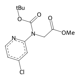 COC(=O)CN(C(=O)OC(C)(C)C)c1cc(Cl)ccn1